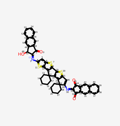 O=C1/C(=N\c2cc3sc4c(c3s2)C2(CCCCC2)c2c-4sc3c2C2(CCCCC2)C(N=c2c(=O)c4cc5ccccc5cc4c2=O)=C3)C(O)c2cc3ccccc3cc21